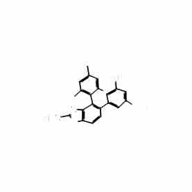 Cc1cc(C)c(-c2c(-c3cc(C(C)(C)C)cc(C(C)(C)C)c3)ccc3sc(N)nc23)c(C)c1